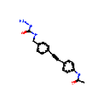 CC(=O)Nc1ccc(C#Cc2ccc(CNC(=O)NN)cc2)cc1